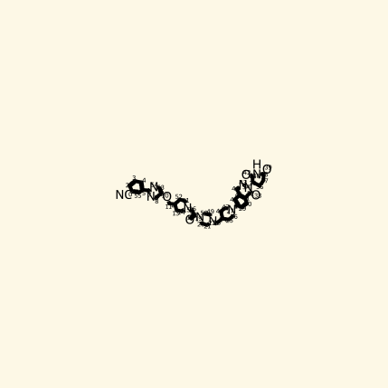 N#Cc1cccc(-c2ncc(OCC3CCN(CC(=O)N4CCN(CC5CCN(c6ccc7c(=O)n(C8CCC(=O)NC8=O)ncc7c6)CC5)CC4)CC3)cn2)c1